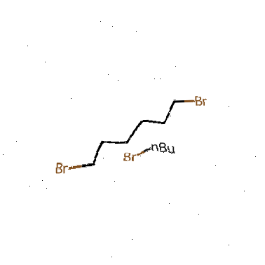 BrCCCCCCBr.CCCCBr